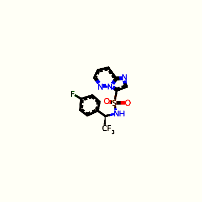 O=S(=O)(N[C@H](c1ccc(F)cc1)C(F)(F)F)c1cnc2cccnn12